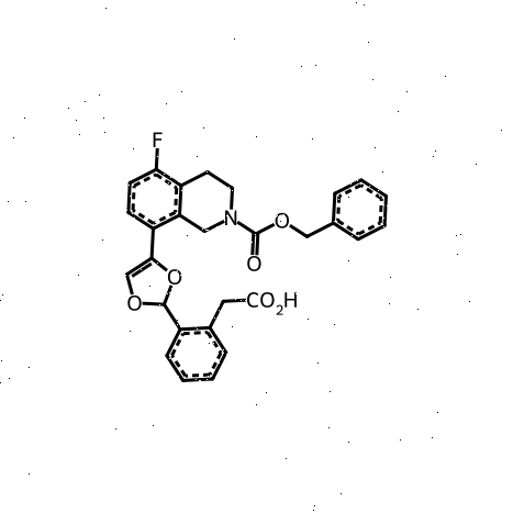 O=C(O)Cc1ccccc1C1OC=C(c2ccc(F)c3c2CN(C(=O)OCc2ccccc2)CC3)O1